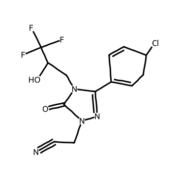 N#CCn1nc(C2=CCC(Cl)C=C2)n(CC(O)C(F)(F)F)c1=O